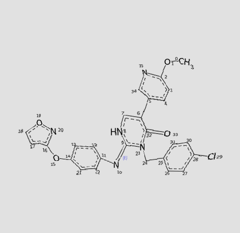 COc1ccc(-c2c[nH]/c(=N\c3ccc(Oc4ccon4)cc3)n(Cc3ccc(Cl)cc3)c2=O)cn1